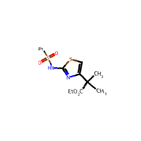 CCOC(=O)C(C)(C)c1csc(NS(=O)(=O)C(C)C)n1